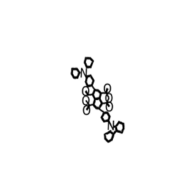 O=C1OC(=O)c2c(-c3ccc(N(c4ccccc4)c4ccccc4)cc3)cc3c4c(c(-c5ccc(-n6c7ccccc7c7ccccc76)cc5)cc1c24)C(=O)OC3=O